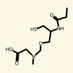 CCC(=O)NC(CS)COCN(C)CC(=O)O